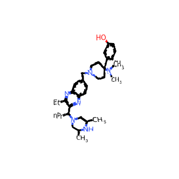 CCCC(c1nc2ccc(CN3CCC(c4cccc(O)c4)(N(C)C)CC3)cc2nc1CC)N1CC(C)NC(C)C1